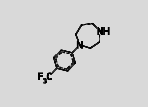 FC(F)(F)c1ccc(N2CCCNCC2)cc1